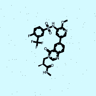 CNC(=O)[C@@H](C)Cn1cnc2ccc(-c3cnc(OC)c(NS(=O)(=O)c4ccc(F)c(C(F)(F)F)c4)c3)cc2c1=O